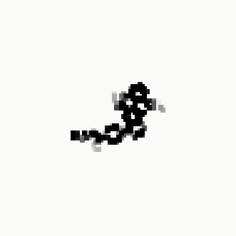 CCC(=O)N1CCN(c2ncnc3c(F)c(-c4c(C)cccc4O)c(Cl)cc23)CC1